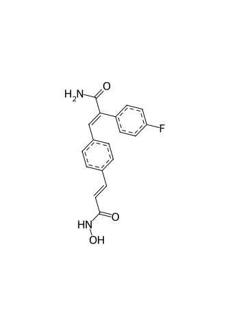 NC(=O)/C(=C/c1ccc(/C=C/C(=O)NO)cc1)c1ccc(F)cc1